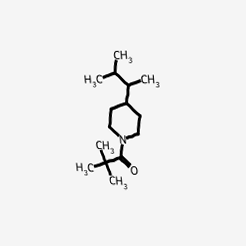 CC(C)C(C)C1CCN(C(=O)C(C)(C)C)CC1